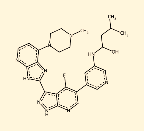 CC(C)CC(O)Nc1cncc(-c2cnc3[nH]nc(-c4nc5c(N6CCN(C)CC6)ccnc5[nH]4)c3c2F)c1